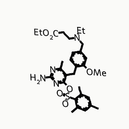 CCOC(=O)CCN(CC)Cc1ccc(Cc2c(C)nc(N)nc2OS(=O)(=O)c2c(C)cc(C)cc2C)c(OC)c1